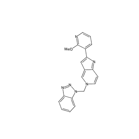 COc1ncccc1-c1cc2cn(Cn3nnc4ccccc43)ccc-2n1